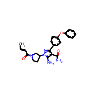 CC=CC(=O)N1CCC(n2nc(-c3ccc(Oc4ccccc4)cc3)c(C(N)=O)c2N)C1